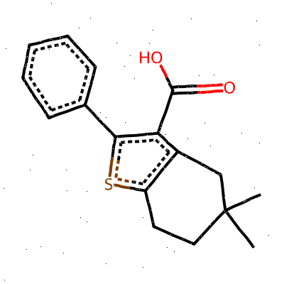 CC1(C)CCc2sc(-c3ccccc3)c(C(=O)O)c2C1